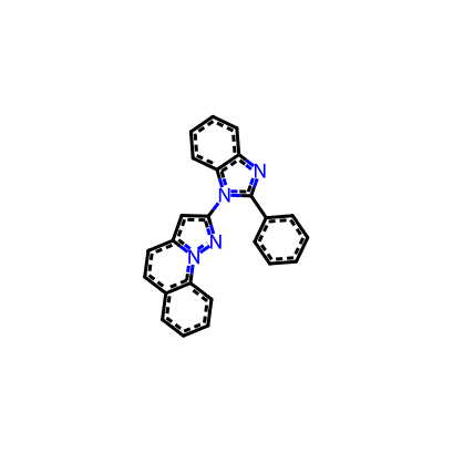 c1ccc(-c2nc3ccccc3n2-c2cc3ccc4ccccc4n3n2)cc1